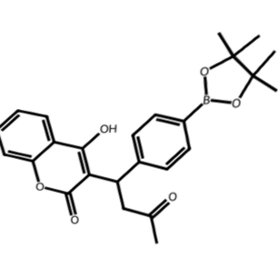 CC(=O)CC(c1ccc(B2OC(C)(C)C(C)(C)O2)cc1)c1c(O)c2ccccc2oc1=O